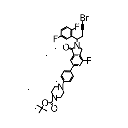 CC(C)(C)OC(=O)N1CCN(c2ccc(-c3cc(F)c4c(c3)C(=O)N(C(CC#CBr)c3cc(F)ccc3F)C4)cc2)CC1